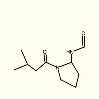 CC(C)CC(=O)N1CCCC1NC=O